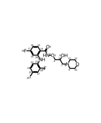 O=C(NOCC(O)CN1CCOCC1)c1ccc(F)cc1Nc1ccc(I)cc1F